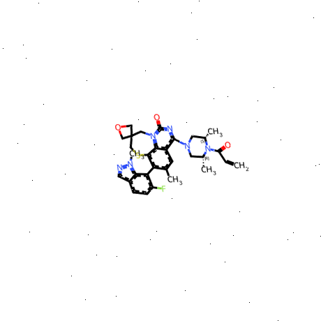 C=CC(=O)N1[C@H](C)CN(c2nc(=O)n3c4c(c(-c5c(F)ccc6cnn(C)c56)c(C)cc24)SCC2(COC2)C3)C[C@@H]1C